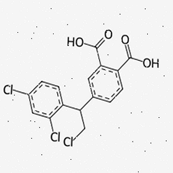 O=C(O)c1ccc(C(CCl)c2ccc(Cl)cc2Cl)cc1C(=O)O